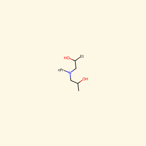 CCCN(CC(C)O)CC(O)CC